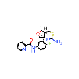 C[C@H]1OC[C@]2(c3cc(NC(=O)c4ccccn4)ccc3F)N=C(N)SC[C@H]12